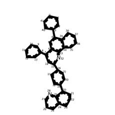 c1ccc(-c2cc3c(-c4ccccc4)cc(-c4ccc(-c5cccc6cccnc56)cc4)nc3c3ccccc23)cc1